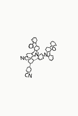 N#Cc1ccc(-c2cc(C#N)cc(-c3ccc(-n4c5ccccc5c5c6oc7ccccc7c6ccc54)cc3-n3c4ccccc4c4c5oc6ccccc6c5ccc43)c2)cc1